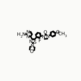 COc1ccc(N2CCN(c3cccc(-c4sc(N5CCOCC5)nc4-c4ccnc(N)n4)c3F)C2=O)cc1